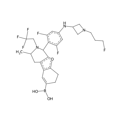 CC1Cc2c(oc3c2C=C(B(O)O)CC3)C(c2c(F)cc(NC3CN(CCCF)C3)cc2F)N1CC(F)(F)F